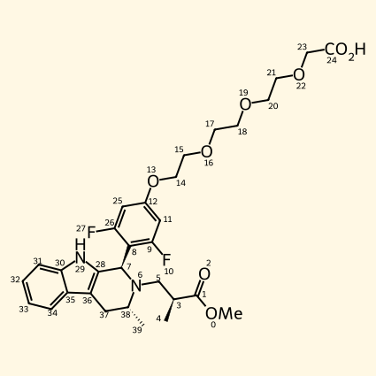 COC(=O)[C@@H](C)CN1[C@H](c2c(F)cc(OCCOCCOCCOCC(=O)O)cc2F)c2[nH]c3ccccc3c2C[C@H]1C